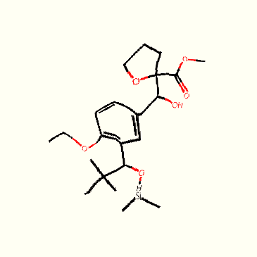 CCOc1ccc(C(O)C2(C(=O)OC)CCCO2)cc1C(O[SiH](C)C)C(C)(C)C